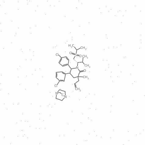 C1CN2CCN1CC2.C=CCC1(C)CC(c2cccc(Cl)c2)C(c2ccc(Cl)cc2)N([C@H](CS(=O)(=O)C(C)C)C(C)C)C1=O